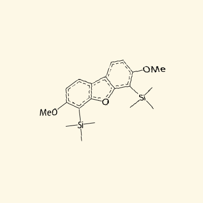 COc1ccc2c(oc3c([Si](C)(C)C)c(OC)ccc32)c1[Si](C)(C)C